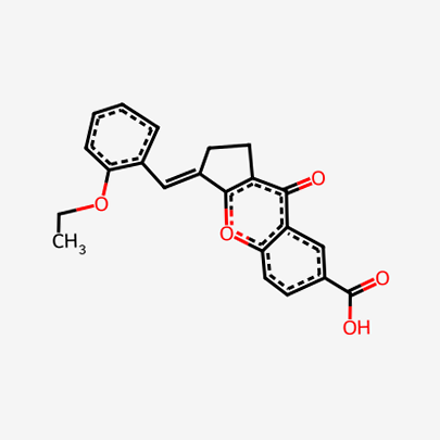 CCOc1ccccc1C=C1CCc2c1oc1ccc(C(=O)O)cc1c2=O